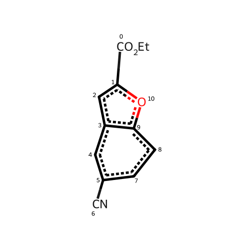 CCOC(=O)c1cc2cc(C#N)ccc2o1